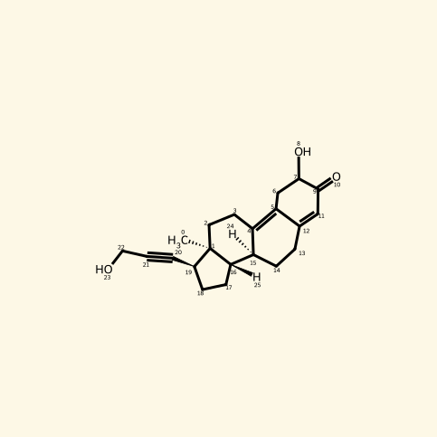 C[C@]12CCC3=C4CC(O)C(=O)C=C4CC[C@H]3[C@@H]1CC[C@H]2C#CCO